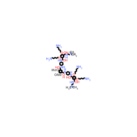 COc1cc(OC)c(C(O)NC2CCC(N[C@@H](O)C3C=C(C(O)NCCN(C)C)C(OCCCCCN)=CC3OCCCCCN)CC2)cc1C(O)NC1CCC(NC(O)c2cc(C(O)NCCN(C)C)c(OCCCCCN)cc2OCCCCCN)CC1